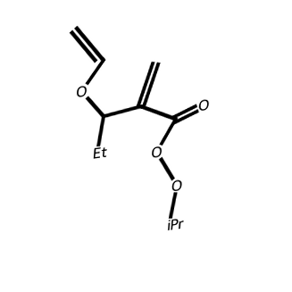 C=COC(CC)C(=C)C(=O)OOC(C)C